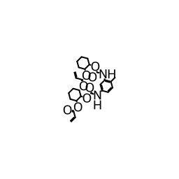 C=CC(=O)OC1CCCCC1OC(=O)Nc1ccc(C)c(NC(=O)OC2CCCCC2OC(=O)C=C)c1